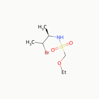 CCOCS(=O)(=O)N[C@H](C)C(C)Br